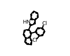 Clc1ccc(Cl)c(-c2c(-c3cc4ccccc4[nH]3)ccc3ccccc23)c1